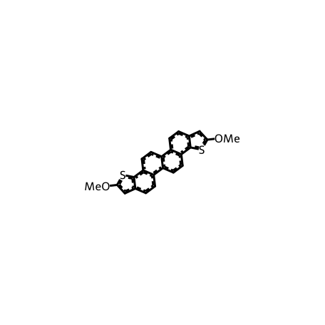 COc1cc2ccc3c4ccc5c(ccc6cc(OC)sc65)c4ccc3c2s1